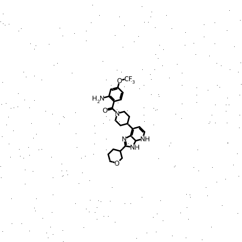 Nc1cc(OC(F)(F)F)ccc1C(=O)N1CCC(C2=C3N=C(C4CCCOC4)NC3NC=C2)CC1